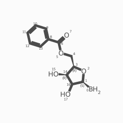 B[C@@H]1O[C@H](COC(=O)c2ccccc2)[C@H](O)C1O